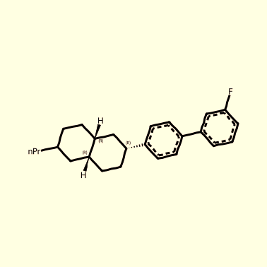 CCCC1CC[C@@H]2C[C@H](c3ccc(-c4cccc(F)c4)cc3)CC[C@@H]2C1